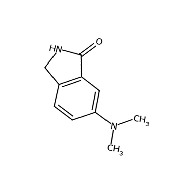 CN(C)c1ccc2c(c1)C(=O)NC2